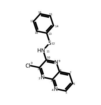 Clc1nc2ncccc2nc1NSc1ccccc1